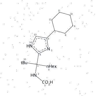 CCCCCCC(NC(=O)O)(c1nc(C2CCCCC2)c[nH]1)C(C)(C)C